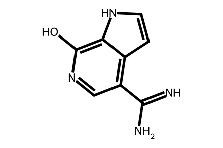 N=C(N)c1cnc(O)c2[nH]ccc12